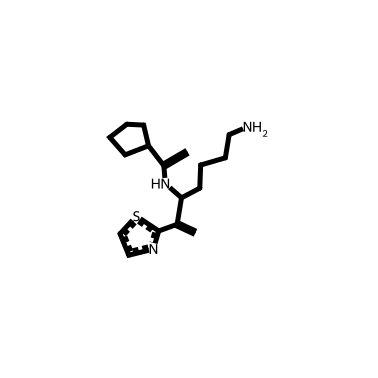 C=C(NC(CCCCN)C(=C)c1nccs1)C1CCCC1